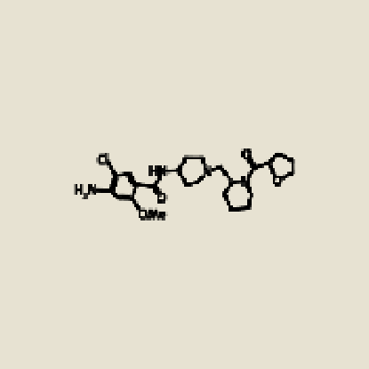 COc1cc(N)c(Cl)cc1C(=O)NC1CCN(C[C@@H]2CCCCN2C(=O)C2CCCO2)CC1